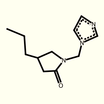 CCCC1CC(=O)N(Cn2ccnc2)C1